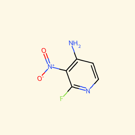 Nc1ccnc(F)c1[N+](=O)[O-]